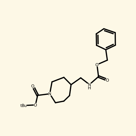 CC(C)(C)OC(=O)N1CCCC(CNC(=O)OCc2ccccc2)CC1